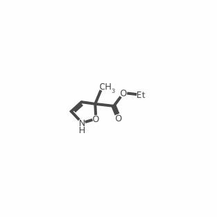 CCOC(=O)C1(C)C=CNO1